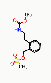 CC(C)(C)OC(=O)NCCc1ccccc1COS(C)(=O)=O